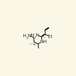 C=C/C(CC)=C(\N)NC(C)[C@H](C)CN